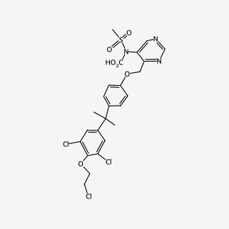 CC(C)(c1ccc(OCc2ncncc2N(C(=O)O)S(C)(=O)=O)cc1)c1cc(Cl)c(OCCCl)c(Cl)c1